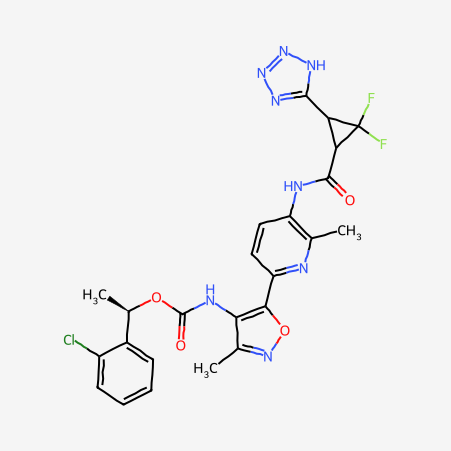 Cc1nc(-c2onc(C)c2NC(=O)O[C@H](C)c2ccccc2Cl)ccc1NC(=O)C1C(c2nnn[nH]2)C1(F)F